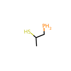 CC(S)CP